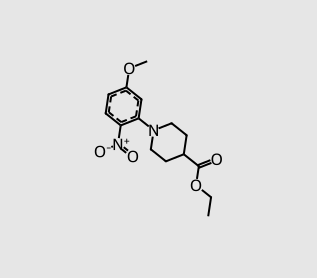 CCOC(=O)C1CCN(c2cc(OC)ccc2[N+](=O)[O-])CC1